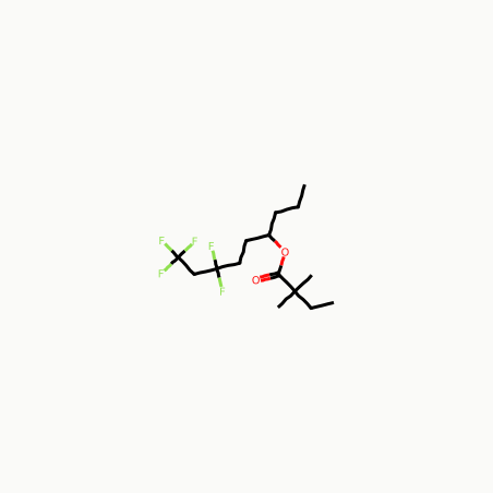 CCCC(CCC(F)(F)CC(F)(F)F)OC(=O)C(C)(C)CC